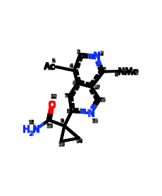 CNc1ncc(C(C)=O)c2cc(C3(C(N)=O)CC3)ncc12